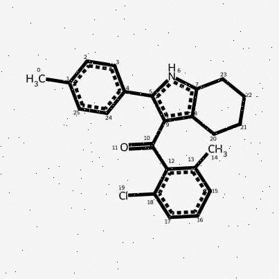 Cc1ccc(-c2[nH]c3c(c2C(=O)c2c(C)cccc2Cl)CCCC3)cc1